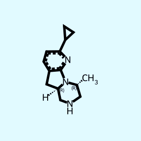 C[C@@H]1CNC[C@H]2Cc3ccc(C4CC4)nc3N21